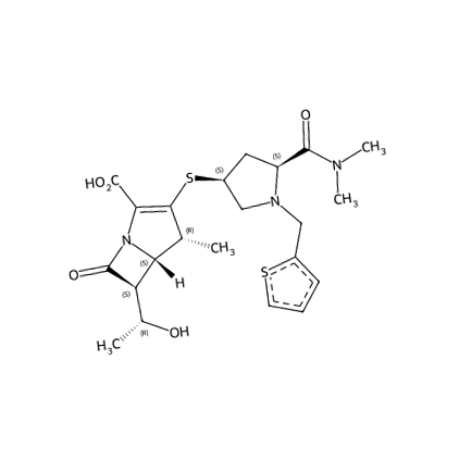 C[C@@H](O)[C@H]1C(=O)N2C(C(=O)O)=C(S[C@H]3C[C@@H](C(=O)N(C)C)N(Cc4cccs4)C3)[C@H](C)[C@H]12